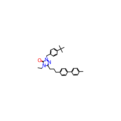 CCn1c(CCCc2ccc(-c3ccc(C)cc3)cc2)nn(Cc2ccc(C(C)(C)C)cc2)c1=O